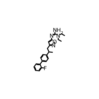 CCN(CC)C(N)=Nc1cc(CC(C)c2ccc(-c3ccccc3F)cc2)no1